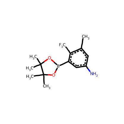 Cc1cc(N)cc(B2OC(C)(C)C(C)(C)O2)c1C(F)(F)F